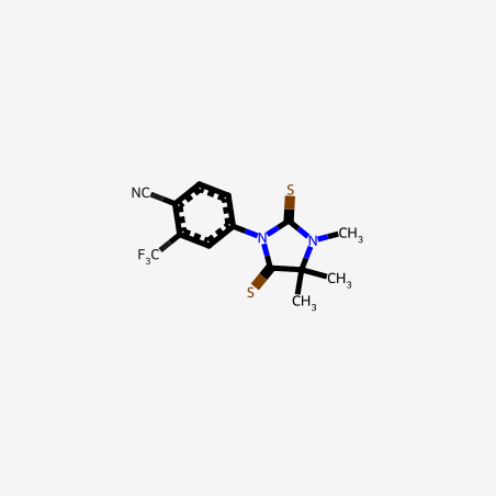 CN1C(=S)N(c2ccc(C#N)c(C(F)(F)F)c2)C(=S)C1(C)C